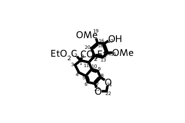 CCOC(=O)C1(C(=O)OCC)CCc2cc3c(cc2C1c1cc(OC)c(O)c(OC)c1)OCO3